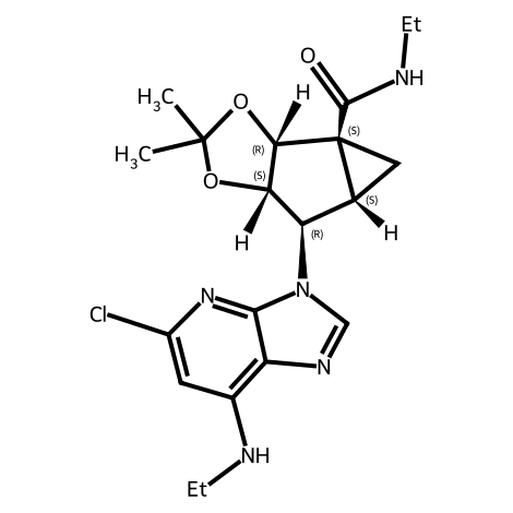 CCNC(=O)[C@@]12C[C@@H]1[C@@H](n1cnc3c(NCC)cc(Cl)nc31)[C@@H]1OC(C)(C)O[C@@H]12